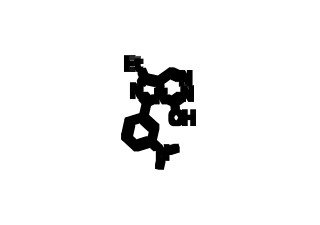 CCc1nc(-c2cccc(N(C)C)c2)n2c(O)nncc12